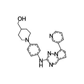 OCC1CCN(c2ccc(Nc3ncc4ccc(-c5cccnc5)n4n3)cc2)CC1